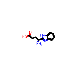 NC(CCC(=O)O)c1nc2ccccc2[nH]1